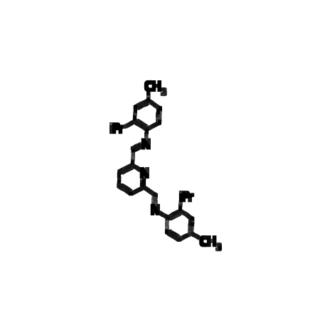 Cc1ccc(N=Cc2cccc(C=Nc3ccc(C)cc3C(C)C)n2)c(C(C)C)c1